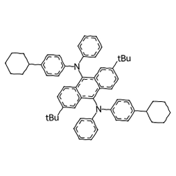 CC(C)(C)c1ccc2c(N(c3ccccc3)c3ccc(C4CCCCC4)cc3)c3cc(C(C)(C)C)ccc3c(N(c3ccccc3)c3ccc(C4CCCCC4)cc3)c2c1